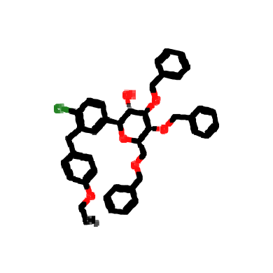 CCOc1ccc(Cc2cc([C@@H]3O[C@H](COCc4ccccc4)[C@@H](OCc4ccccc4)[C@H](OCc4ccccc4)[C@H]3O)ccc2Cl)cc1